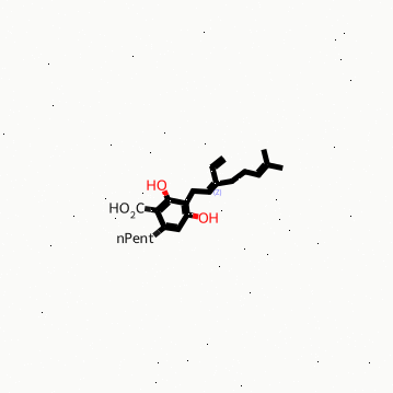 C=C/C(=C\Cc1c(O)cc(CCCCC)c(C(=O)O)c1O)CCC=C(C)C